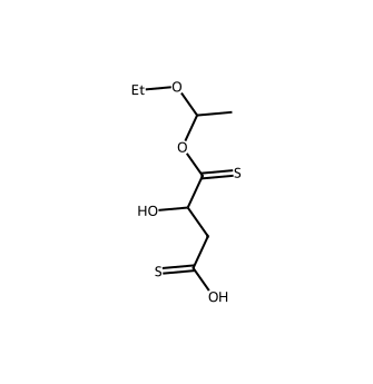 CCOC(C)OC(=S)C(O)CC(O)=S